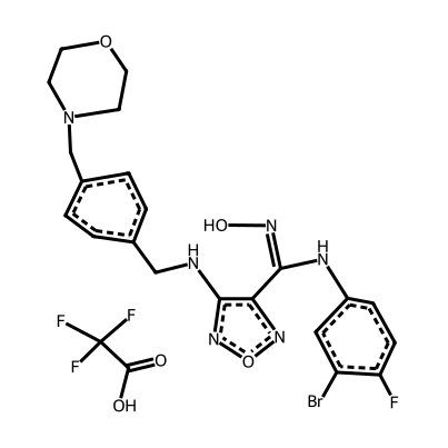 O/N=C(/Nc1ccc(F)c(Br)c1)c1nonc1NCc1ccc(CN2CCOCC2)cc1.O=C(O)C(F)(F)F